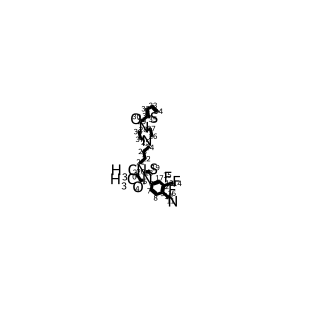 CC1(C)C(=O)N(c2ccc(C#N)c(C(F)(F)F)c2)C(=S)N1CCCCN1CCN(C(=O)c2cccs2)CC1